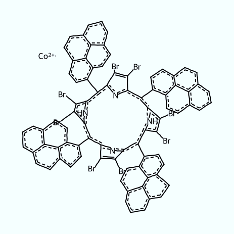 BrC1=C(Br)c2nc1c(-c1ccc3ccc4cccc5ccc1c3c45)c1[nH]c(c(Br)c1Br)c(-c1ccc3ccc4cccc5ccc1c3c45)c1nc(c(-c3ccc4ccc5cccc6ccc3c4c56)c3[nH]c(c(Br)c3Br)c2-c2ccc3ccc4cccc5ccc2c3c45)C(Br)=C1Br.[Co+2]